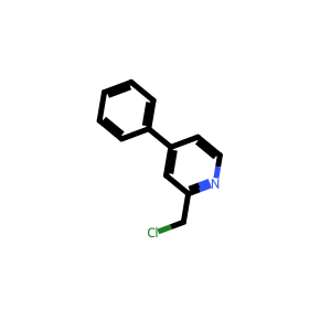 ClCc1cc(-c2ccccc2)ccn1